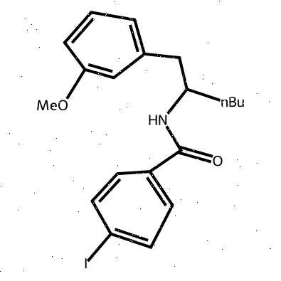 CCCCC(Cc1cccc(OC)c1)NC(=O)c1ccc(I)cc1